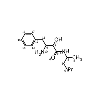 CC(C)CC(C)NC(=O)C(O)C(N)Cc1ccccc1